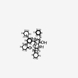 C[C@H](NC[C@H](O)[C@H](Cc1ccccc1)NC(=O)c1cc(N2CCCCC2)cc(N2CCCCC2=O)c1)C(=O)NC1CCCCC1